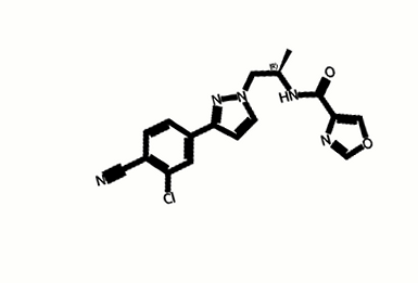 C[C@H](Cn1ccc(-c2ccc(C#N)c(Cl)c2)n1)NC(=O)c1cocn1